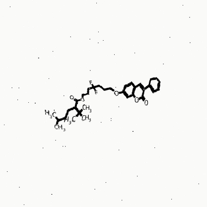 CC(C)CCC(C(=O)OCCCC(F)(F)CCCOc1ccc2cc(-c3ccccc3)c(=O)oc2c1)C(C)(C)C